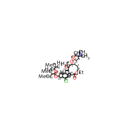 CC[C@H]1CCC[C@H](O[C@H]2CC[C@H](N(C)C)C(C)O2)[C@@H](C)C(=O)C2=CC3C(C=C(Cl)C4C[C@@H](OC(OC(C)[C@@H](C)OC)[C@H](COC)OC)C[C@H]43)[C@@H]2CC(=O)O1